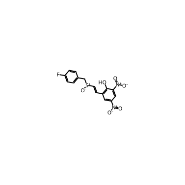 O=[N+]([O-])c1cc(/C=C/[S+]([O-])Cc2ccc(F)cc2)c(O)c([N+](=O)[O-])c1